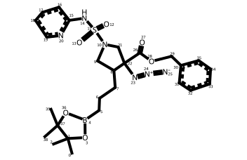 CC1(C)OB(CCCC2CN(S(=O)(=O)Nc3ccccn3)CC2(N=[N+]=[N-])C(=O)OCc2ccccc2)OC1(C)C